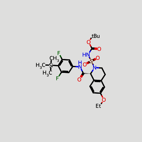 CCOc1ccc2c(c1)CCN(S(=O)(=O)NC(=O)OC(C)(C)C)[C@H]2C(=O)Nc1cc(F)c([Si](C)(C)C)c(F)c1